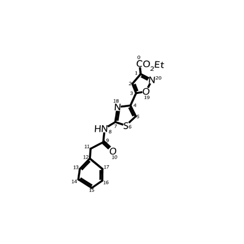 CCOC(=O)c1cc(-c2csc(NC(=O)Cc3ccccc3)n2)on1